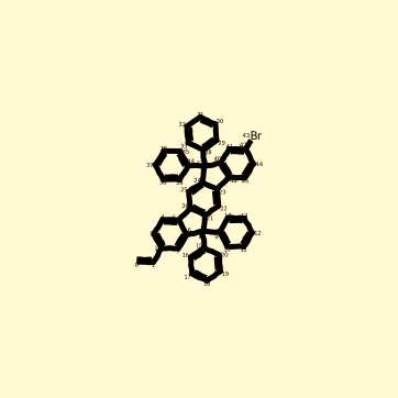 C=Cc1ccc2c(c1)C(c1ccccc1)(c1ccccc1)c1cc3c(cc1-2)C(c1ccccc1)(c1ccccc1)c1cc(Br)ccc1-3